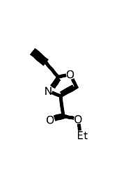 C#Cc1nc(C(=O)OCC)co1